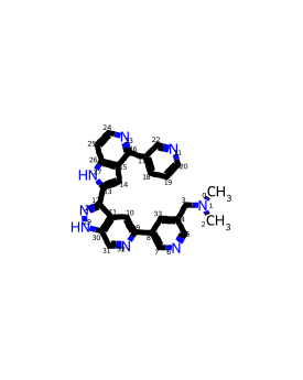 CN(C)Cc1cncc(-c2cc3c(-c4cc5c(-c6cccnc6)nccc5[nH]4)n[nH]c3cn2)c1